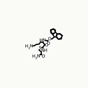 NCCCCC(NC(=O)OCC1c2ccccc2-c2ccccc21)C(=O)C1NC(C(N)=O)CS1